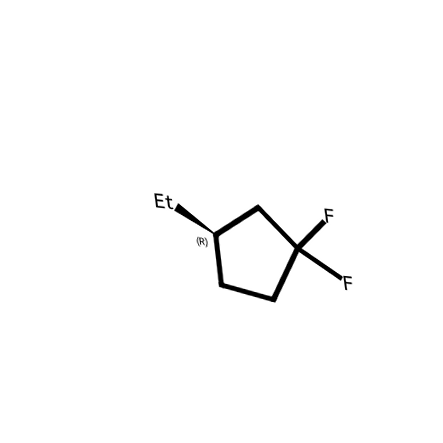 CC[C@@H]1CCC(F)(F)C1